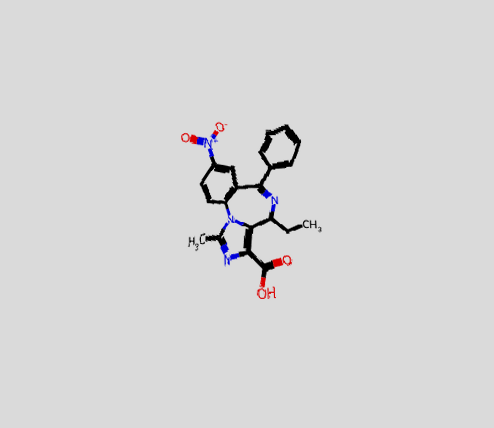 CCC1N=C(c2ccccc2)c2cc([N+](=O)[O-])ccc2-n2c(C)nc(C(=O)O)c21